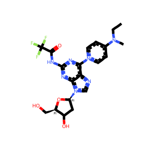 CCN(C)c1cc[n+](-c2nc(NC(=O)C(F)(F)F)nc3c2ncn3[C@H]2CC(O)[C@@H](CO)O2)cc1